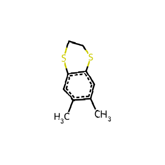 Cc1cc2c(cc1C)SCCS2